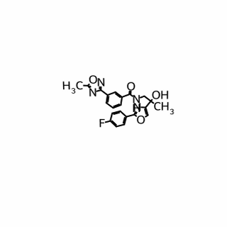 Cc1nc(-c2cccc(C(=O)NCC(C)(O)c3coc(-c4ccc(F)cc4)n3)c2)no1